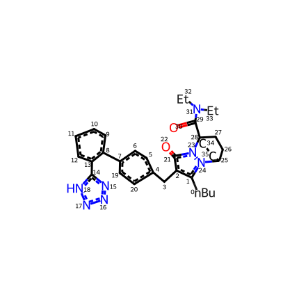 CCCCc1c(Cc2ccc(-c3ccccc3-c3nnn[nH]3)cc2)c(=O)n2n1C1CCC2(C(=O)N(CC)CC)CC1